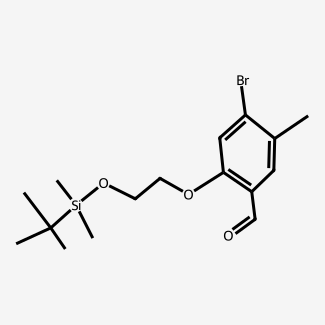 Cc1cc(C=O)c(OCCO[Si](C)(C)C(C)(C)C)cc1Br